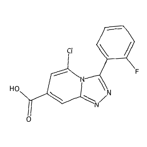 O=C(O)c1cc(Cl)n2c(-c3ccccc3F)nnc2c1